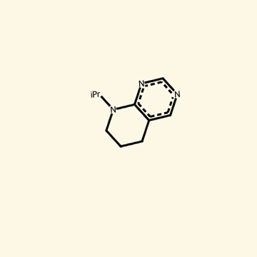 CC(C)N1CCCc2cncnc21